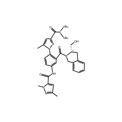 CCCCN(CCCC)C(=O)c1cc(C)n(-c2ccc(NC(=O)c3cc(C)nn3C)cc2C(=O)N2Cc3ccccc3C[C@H]2CO)n1